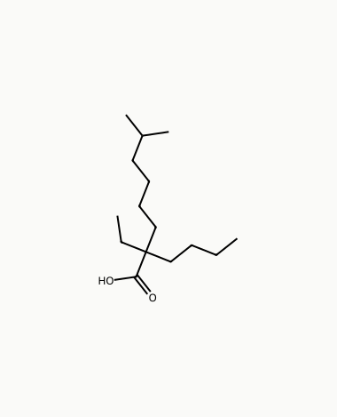 CCCCC(CC)(CCCCC(C)C)C(=O)O